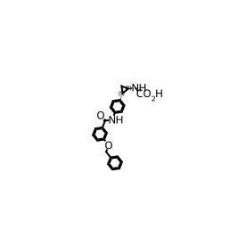 O=C(O)N[C@@H]1C[C@H]1c1ccc(NC(=O)c2cccc(OCc3ccccc3)c2)cc1